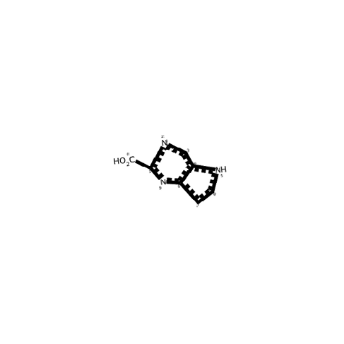 O=C(O)c1ncc2[nH]ccc2n1